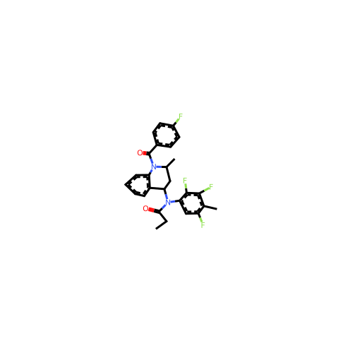 CCC(=O)N(c1cc(F)c(C)c(F)c1F)C1CC(C)N(C(=O)c2ccc(F)cc2)c2ccccc21